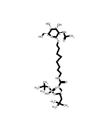 CC(=O)N[C@H]1[C@H](OCCCCCCCCNC(=O)OC[C@H](CC(C)(C)C)OP(=O)(O)OC(C)(C)C)O[C@H](CO)[C@H](O)[C@@H]1O